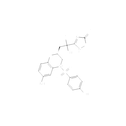 Cc1ccc(S(=O)(=O)N2C[C@H](CC(C)(C)c3nc(=O)o[nH]3)Oc3ccc(N)cc32)cc1